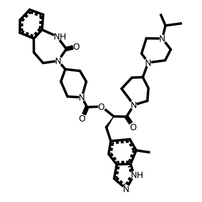 Cc1cc(C[C@@H](OC(=O)N2CCC(N3CCc4ccccc4NC3=O)CC2)C(=O)N2CCC(N3CCN(C(C)C)CC3)CC2)cc2cn[nH]c12